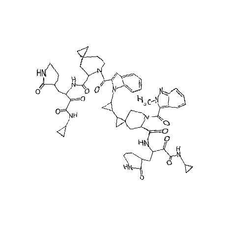 Cn1nc2ccccc2c1C(=O)N1CCC2(CC1C(=O)NC(CC1CCNC1=O)C(=O)C(=O)NC1CC1)CC2C1CC1n1c(C(=O)N2CCC3(CC3)CC2C(=O)NC(CC2CCNC2=O)C(=O)C(=O)NC2CC2)cc2ccccc21